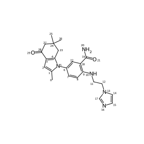 Cc1cc2c(n1-c1ccc(NCCn3ccnc3)c(C(N)=O)c1)CC(C)(C)CC2=O